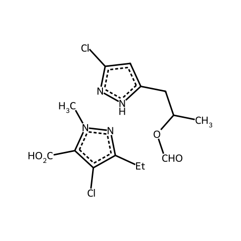 CC(Cc1cc(Cl)n[nH]1)OC=O.CCc1nn(C)c(C(=O)O)c1Cl